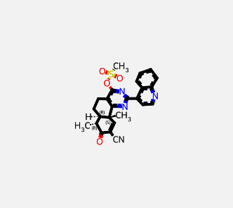 C[C@H]1C(=O)C(C#N)=C[C@@]2(C)c3nc(-c4ccnc5ccccc45)nc(OS(C)(=O)=O)c3CC[C@H]12